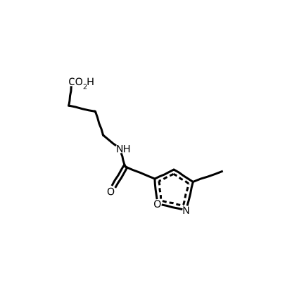 Cc1cc(C(=O)NCCCC(=O)O)on1